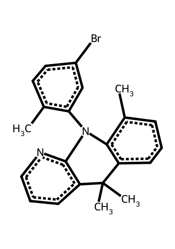 Cc1ccc(Br)cc1N1c2ncccc2C(C)(C)c2cccc(C)c21